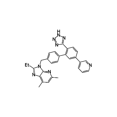 CCc1nc2c(C)cc(C)nc2n1Cc1ccc(-c2cc(-c3cccnc3)ccc2-c2nn[nH]n2)cc1